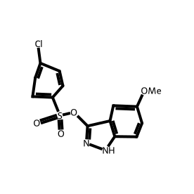 COc1ccc2[nH]nc(OS(=O)(=O)c3ccc(Cl)cc3)c2c1